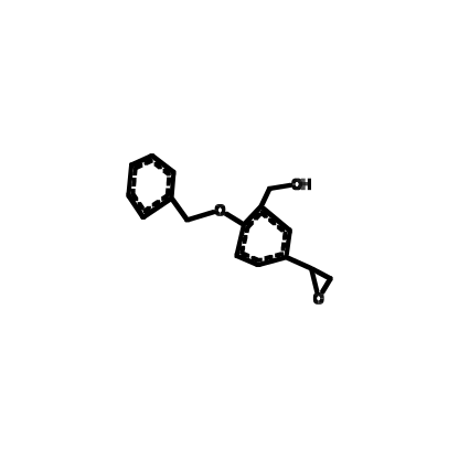 OCc1cc(C2CO2)ccc1OCc1ccccc1